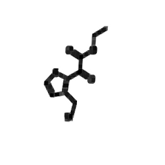 CCOC(=O)C(=O)c1sccc1CBr